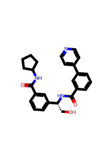 O=C(NC1CCCC1)c1cccc([C@@H](CO)NC(=O)c2cccc(-c3ccncc3)c2)c1